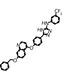 FC(F)(F)c1cccc(Nc2nnc(-c3ccc(Oc4ccnc5cc(OCc6ccccc6)ccc45)cc3)[nH]2)c1